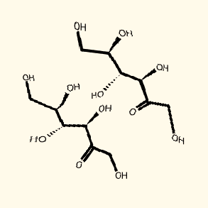 O=C(CO)[C@H](O)[C@H](O)[C@H](O)CO.O=C(CO)[C@H](O)[C@H](O)[C@H](O)CO